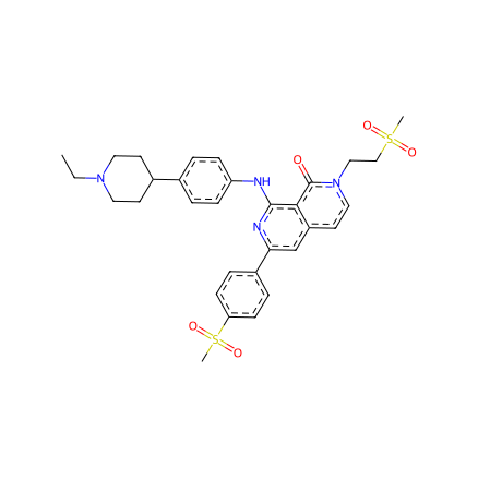 CCN1CCC(c2ccc(Nc3nc(-c4ccc(S(C)(=O)=O)cc4)cc4ccn(CCS(C)(=O)=O)c(=O)c34)cc2)CC1